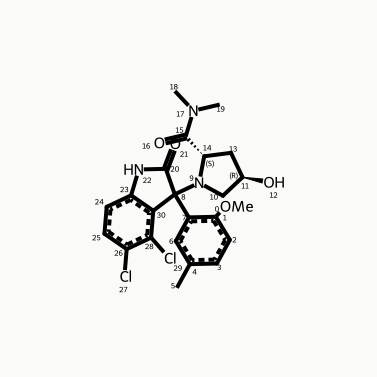 COc1ccc(C)cc1C1(N2C[C@H](O)C[C@H]2C(=O)N(C)C)C(=O)Nc2ccc(Cl)c(Cl)c21